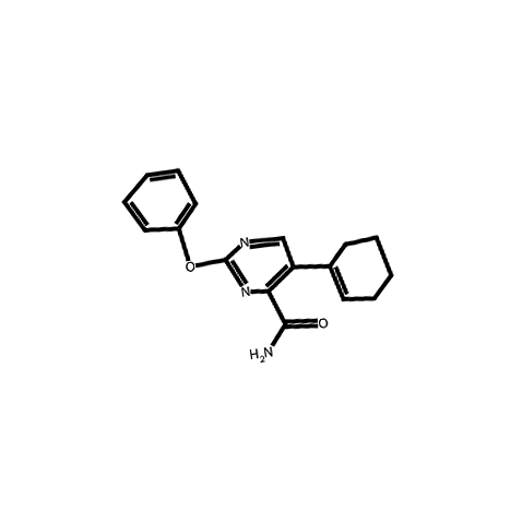 NC(=O)c1nc(Oc2ccccc2)ncc1C1=CCCCC1